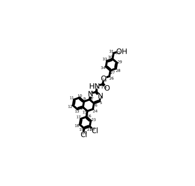 O=C(Nc1ncc2c(n1)-c1ccccc1C(c1ccc(Cl)c(Cl)c1)C2)OCc1ccc(CO)cc1